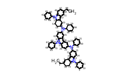 C=CC1=Cc2c(n(-c3ccccc3)c3ccc(N(c4ccccc4)c4ccc5c(c4)c4cc(N(C6=Cc7c(n(-c8ccccc8)c8ccc(C=C)cc78)CC6)C6C=CC=CC6)ccc4n5-c4ccccc4)cc23)CC1